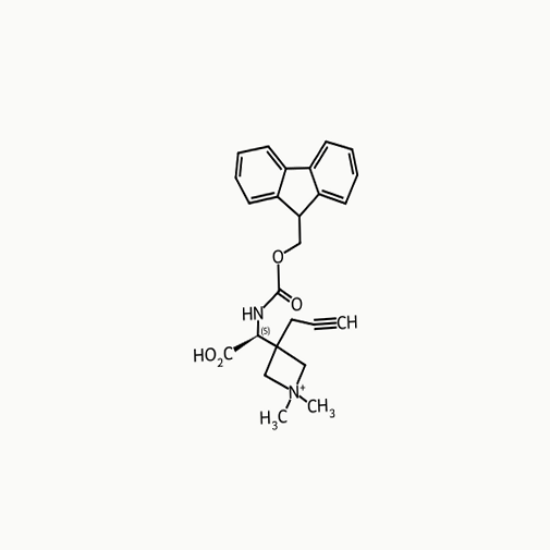 C#CCC1([C@H](NC(=O)OCC2c3ccccc3-c3ccccc32)C(=O)O)C[N+](C)(C)C1